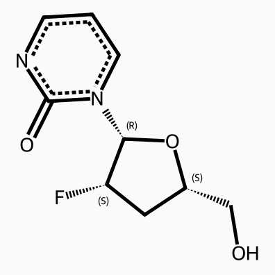 O=c1ncccn1[C@@H]1O[C@H](CO)C[C@@H]1F